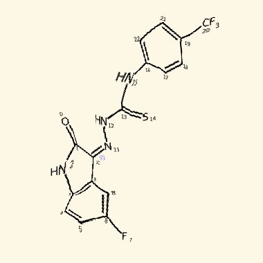 O=C1Nc2ccc(F)cc2/C1=N/NC(=S)Nc1ccc(C(F)(F)F)cc1